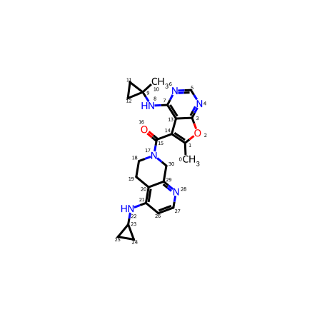 Cc1oc2ncnc(NC3(C)CC3)c2c1C(=O)N1CCc2c(NC3CC3)ccnc2C1